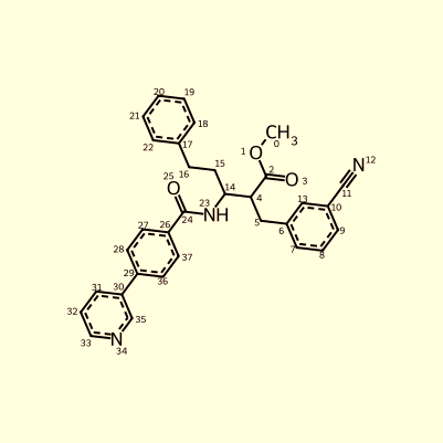 COC(=O)C(Cc1cccc(C#N)c1)C(CCc1ccccc1)NC(=O)c1ccc(-c2cccnc2)cc1